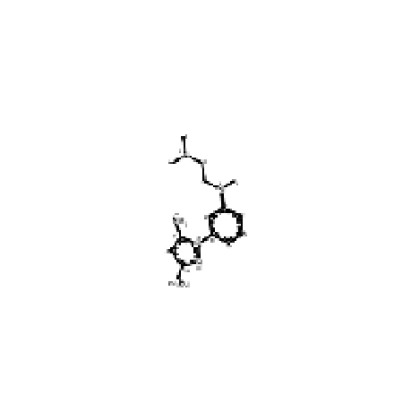 CN(C)CCN(C)c1cccc(-n2nc(C(C)(C)C)cc2N)c1